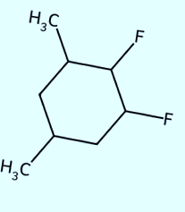 CC1CC(C)C(F)C(F)C1